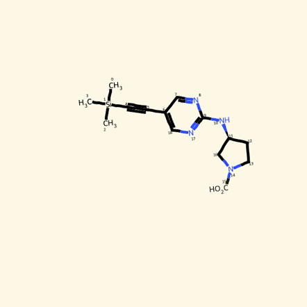 C[Si](C)(C)C#Cc1cnc(N[C@H]2CCN(C(=O)O)C2)nc1